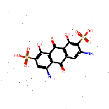 Nc1cc(S(=O)(=O)O)c(O)c2c1C(=O)c1cc(N)c(S(=O)(=O)O)c(O)c1C2=O